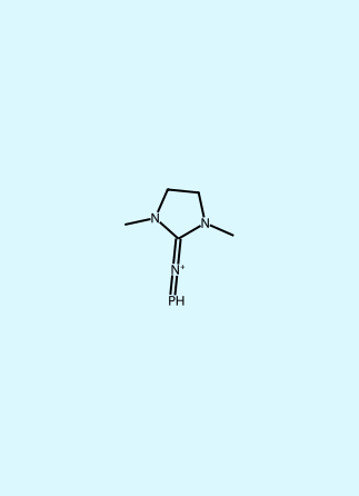 CN1CCN(C)C1=[N+]=P